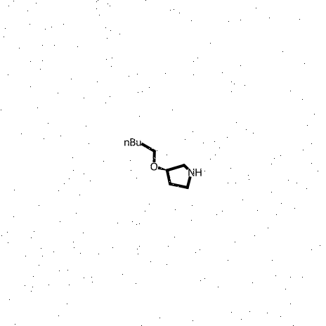 CCCCCO[C@@H]1CCNC1